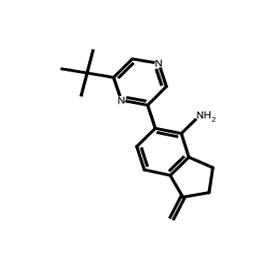 C=C1CCc2c1ccc(-c1cncc(C(C)(C)C)n1)c2N